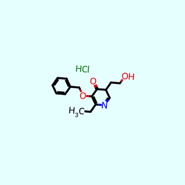 CCC1=C(OCc2ccccc2)C(=O)C(CCO)C=N1.Cl